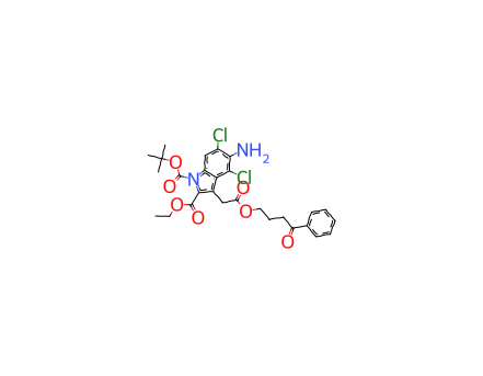 CCOC(=O)c1c(CC(=O)OCCCC(=O)c2ccccc2)c2c(Cl)c(N)c(Cl)cc2n1C(=O)OC(C)(C)C